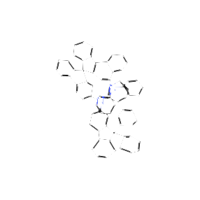 c1ccc(N(c2ccc3c(c2)C(c2ccccc2)(c2ccccc2)c2ccccc2-3)c2ccc3c(c2)C2(c4ccccc4-3)c3ccccc3-c3c2cc(N(c2ccccc2)c2ccccc2)c2ccccc32)cc1